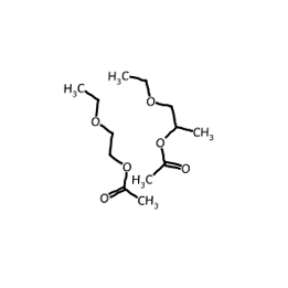 CCOCC(C)OC(C)=O.CCOCCOC(C)=O